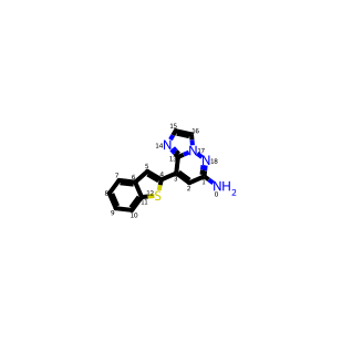 Nc1cc(-c2cc3ccccc3s2)c2nccn2n1